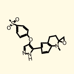 CN1c2ccc(-c3[nH]ncc3Oc3ccc(S(C)(=O)=O)cc3)cc2CCC12CO2